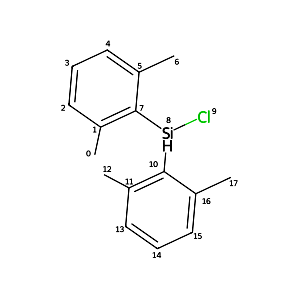 Cc1cccc(C)c1[SiH](Cl)c1c(C)cccc1C